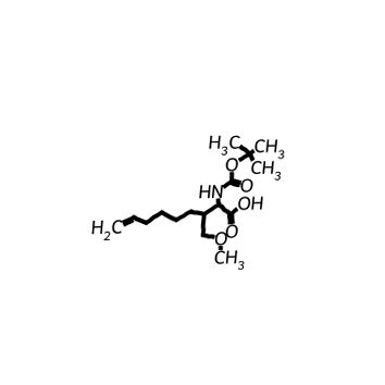 C=CCCCCC(COC)C(NC(=O)OC(C)(C)C)C(=O)O